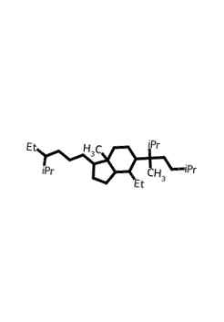 CCC(CCCC1CCC2C(CC)C(C(C)(CCC(C)C)C(C)C)CCC12C)C(C)C